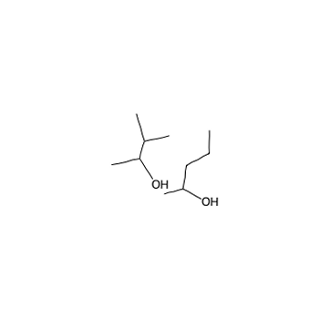 CC(C)C(C)O.CCCC(C)O